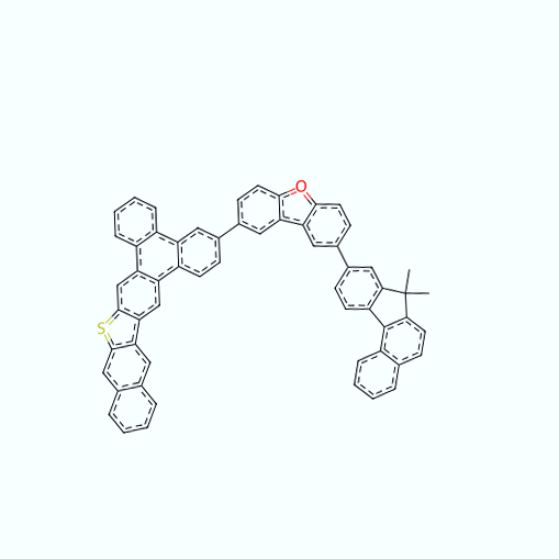 CC1(C)c2cc(-c3ccc4oc5ccc(-c6ccc7c(c6)c6ccccc6c6cc8sc9cc%10ccccc%10cc9c8cc76)cc5c4c3)ccc2-c2c1ccc1ccccc21